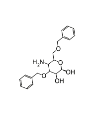 NC1C(COCc2ccccc2)O[C@@H](O)C(O)C1OCc1ccccc1